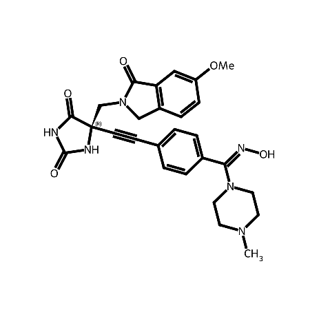 COc1ccc2c(c1)C(=O)N(C[C@@]1(C#Cc3ccc(C(=NO)N4CCN(C)CC4)cc3)NC(=O)NC1=O)C2